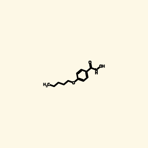 CCCCCOc1ccc(C(=O)NO)cc1